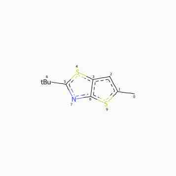 Cc1cc2sc(C(C)(C)C)nc2s1